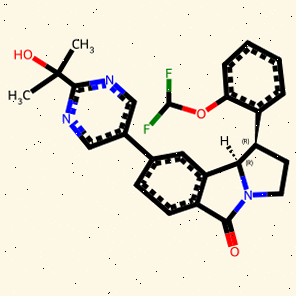 CC(C)(O)c1ncc(-c2ccc3c(c2)[C@H]2[C@@H](c4ccccc4OC(F)F)CCN2C3=O)cn1